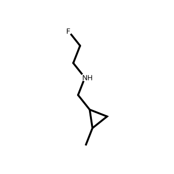 CC1CC1CNCCF